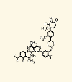 Cc1nnc(N[C@H](C)c2cccc(C(F)F)c2F)c2cc(-c3ccc(F)c(CN4CCC(c5ccc([C@@]6(C)CCC(=O)NC6=O)cc5C(F)(F)F)CC4)c3)ncc12